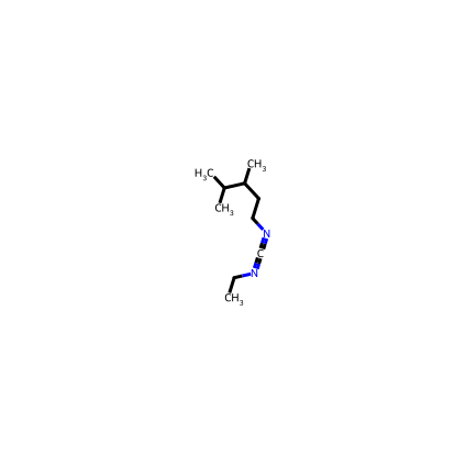 CCN=C=NCCC(C)C(C)C